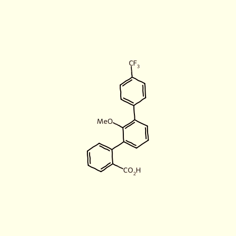 COc1c(-c2ccc(C(F)(F)F)cc2)cccc1-c1ccccc1C(=O)O